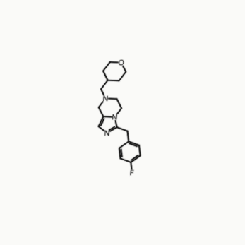 Fc1ccc(Cc2ncc3n2CCN(CC2CCOCC2)C3)cc1